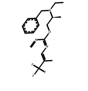 C=N/C(=N\C=C(/C)C(F)(F)F)OC[C@H](C)N(CC)Cc1ccccc1